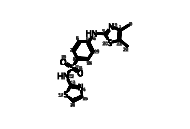 Cc1nc(Nc2ccc(S(=O)(=O)Nc3nccs3)cc2)sc1C